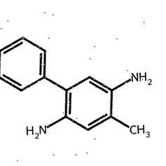 Cc1cc(N)c(-c2ccccc2)cc1N